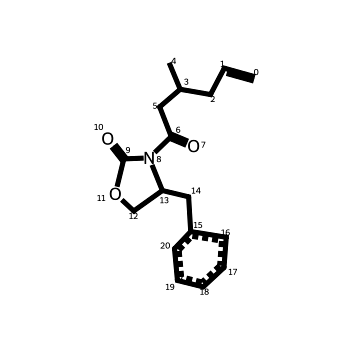 C=CCC(C)CC(=O)N1C(=O)OCC1Cc1ccccc1